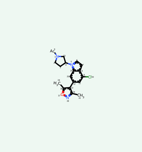 CC(=O)N1CCC(n2ccc3c(Cl)cc(-c4c(C)noc4C)cc32)C1